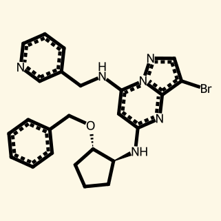 Brc1cnn2c(NCc3cccnc3)cc(N[C@H]3CCC[C@@H]3OCc3ccccc3)nc12